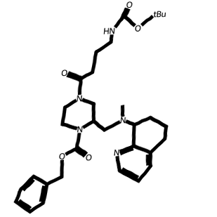 CN(CC1CN(C(=O)CCCNC(=O)OC(C)(C)C)CCN1C(=O)OCc1ccccc1)C1CCCc2cccnc21